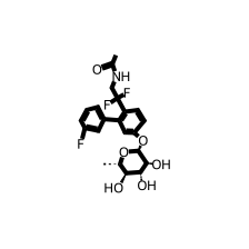 CC(=O)NCC(F)(F)c1ccc(O[C@@H]2O[C@@H](C)[C@H](O)[C@@H](O)[C@H]2O)cc1-c1cccc(F)c1